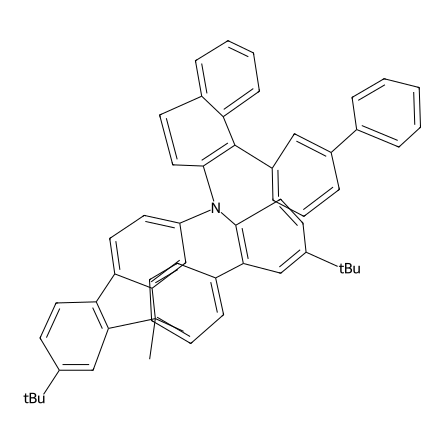 CC(C)(C)c1ccc(N(c2ccc3c(c2)C(C)(C)c2cc(C(C)(C)C)ccc2-3)c2ccc3ccccc3c2-c2cccc(-c3ccccc3)c2)c(-c2ccccc2)c1